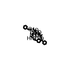 CC(NOCc1ccccc1)C(=O)OP(=O)(OC(=O)C(C)NOCc1ccccc1)OC(=O)C(C)NOCc1ccccc1